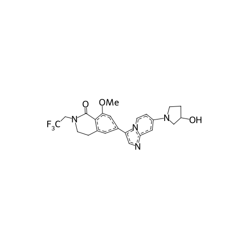 COc1cc(-c2cnc3cc(N4CCC(O)C4)ccn23)cc2c1C(=O)N(CC(F)(F)F)CC2